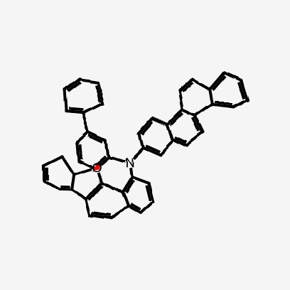 C1=CCC2Oc3c(ccc4cccc(N(c5cccc(-c6ccccc6)c5)c5ccc6c(ccc7c8ccccc8ccc67)c5)c34)C2=C1